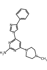 CN1CCN(c2cc(-n3cnc(-c4ccccc4)c3)nc(N)n2)CC1